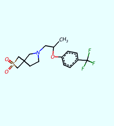 CC(CN1CCC2(C1)CS(=O)(=O)C2)Oc1ccc(C(F)(F)F)cc1